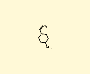 C=CN1CCC(N)CC1